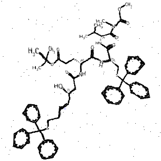 COC(=O)N(C)C(=O)[C@H](NC(=O)[C@@H](CSC(c1ccccc1)(c1ccccc1)c1ccccc1)NC(=O)[C@@H](CCC(=O)OC(C)(C)C)NC(=O)C[C@H](O)/C=C/CCSC(c1ccccc1)(c1ccccc1)c1ccccc1)C(C)C